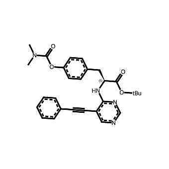 CN(C)C(=O)Oc1ccc(C[C@H](Nc2ncncc2C#Cc2ccccc2)C(=O)OC(C)(C)C)cc1